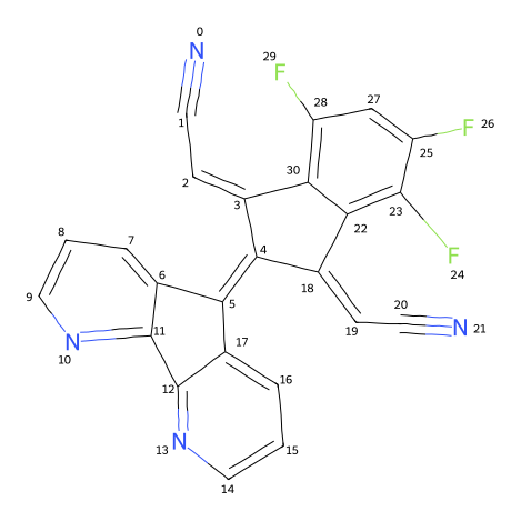 N#C/C=C1/C(=C2c3cccnc3-c3ncccc32)/C(=C/C#N)c2c(F)c(F)cc(F)c21